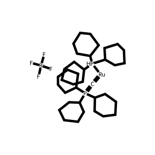 F[B-](F)(F)F.[C](=[Ru][PH](C1CCCCC1)(C1CCCCC1)C1CCCCC1)=P(C1CCCCC1)(C1CCCCC1)C1CCCCC1